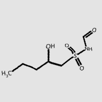 CCCC(O)CS(=O)(=O)NC=O